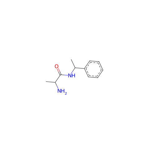 CC(N)C(=O)NC(C)c1ccccc1